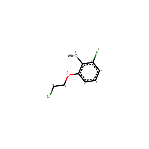 COc1c(F)cccc1OCCCl